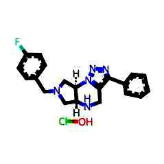 Fc1ccc(CN2C[C@@H]3[C@@H](C2)NCc2c(-c4ccccc4)nnn23)cc1.OCl